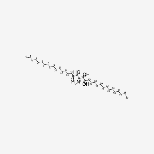 CCCCCCCCCCCCCCCCC(=O)C(O)C(N)C(O)C(O)CCCCCCCCCCCCCC